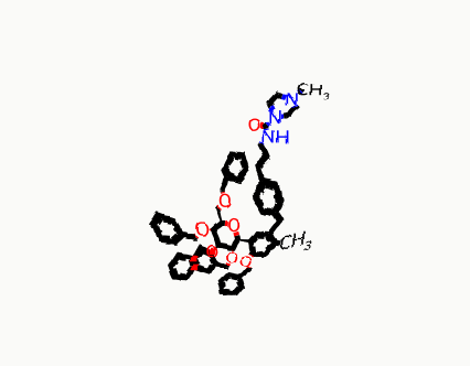 Cc1cc(OCc2ccccc2)c([C@@H]2O[C@H](COCc3ccccc3)[C@@H](OCc3ccccc3)[C@H](OCc3ccccc3)[C@H]2OCc2ccccc2)cc1Cc1ccc(/C=C/CNC(=O)N2CCN(C)CC2)cc1